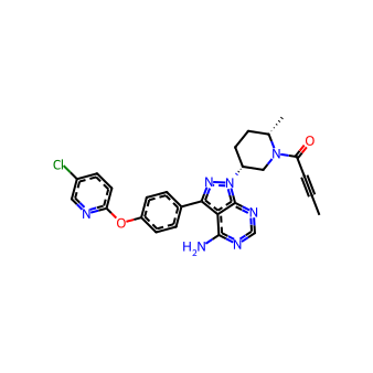 CC#CC(=O)N1C[C@H](n2nc(-c3ccc(Oc4ccc(Cl)cn4)cc3)c3c(N)ncnc32)CC[C@@H]1C